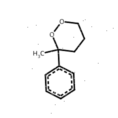 CC1(c2ccccc2)CCCOO1